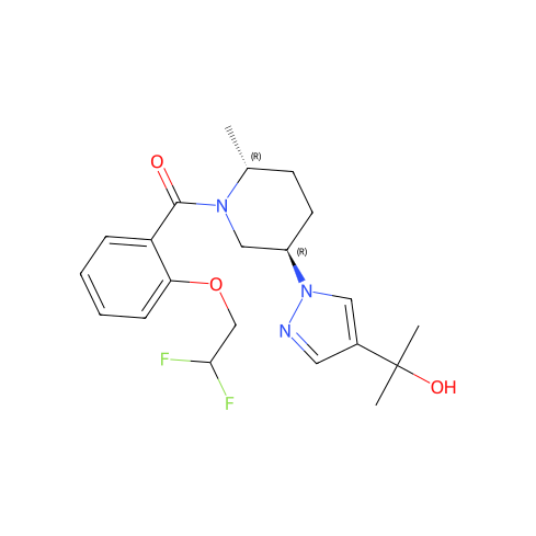 C[C@@H]1CC[C@@H](n2cc(C(C)(C)O)cn2)CN1C(=O)c1ccccc1OCC(F)F